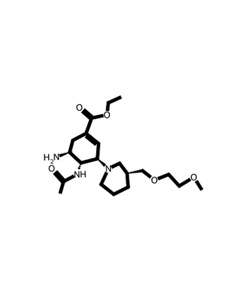 CCOC(=O)C1=C[C@@H](N2CCC[C@H](COCCOC)C2)[C@H](NC(C)=O)[C@@H](N)C1